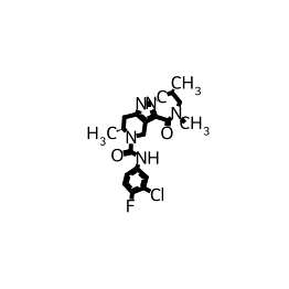 C[C@H]1CN(C)C(=O)c2c3c(nn2C1)C[C@@H](C)N(C(=O)Nc1ccc(F)c(Cl)c1)C3